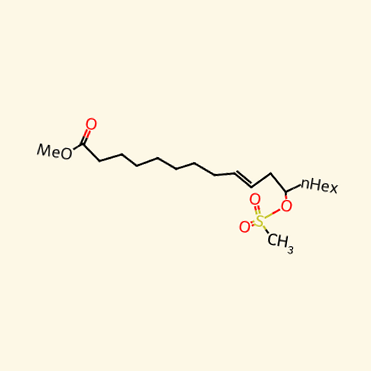 CCCCCCC(CC=CCCCCCCCC(=O)OC)OS(C)(=O)=O